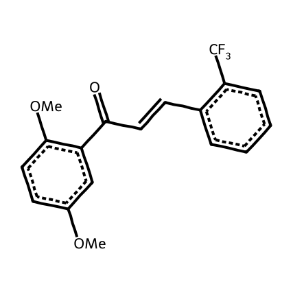 COc1ccc(OC)c(C(=O)C=Cc2ccccc2C(F)(F)F)c1